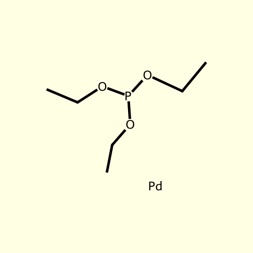 CCOP(OCC)OCC.[Pd]